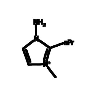 CCCc1n(N)cc[n+]1C